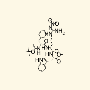 C=C(N[C@H](CC1C=CC=CC1)C(=O)N[C@@H](CCCN/C(N)=N/[N+](=O)[O-])C(=O)N[C@@H](Cc1c[nH]c2ccccc12)C(=O)OC)OC(C)(C)C